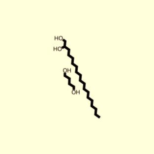 CCCCCCCCCCCCCCCCCC(O)CO.OCCCCO